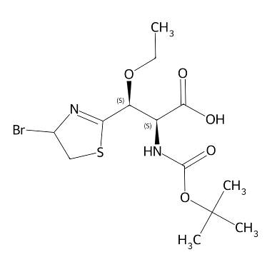 CCO[C@H](C1=NC(Br)CS1)[C@H](NC(=O)OC(C)(C)C)C(=O)O